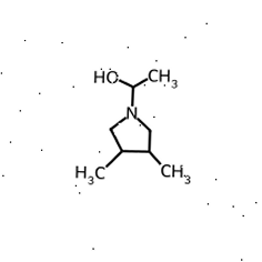 CC1CN(C(C)O)CC1C